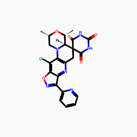 C[C@H]1CN2c3c(nc4c(-c5ccccn5)noc4c3Cl)CC3(C(=O)NC(=O)NC3=O)[C@@H]2[C@@H](C)O1